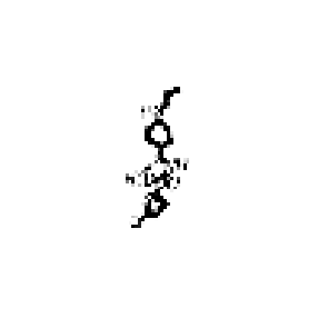 C=CCNC1CCC([C@@H](CO)NS(=O)(=O)c2ccc(Cl)s2)CC1